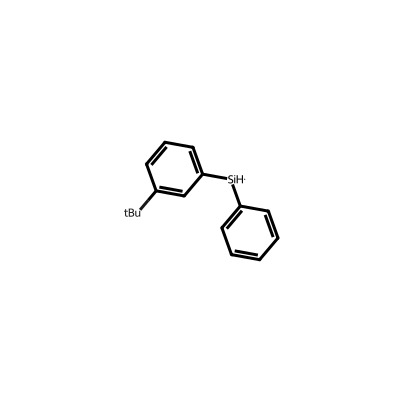 CC(C)(C)c1cccc([SiH]c2ccccc2)c1